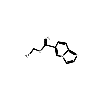 C=C(OCC)c1ccc2nccn2c1